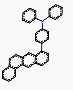 c1ccc(N(c2ccccc2)c2ccc(-c3cccc4cc5c(ccc6ccccc65)cc34)cc2)cc1